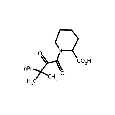 CCCC(C)(C)C(=O)C(=O)N1CCCCC1C(=O)O